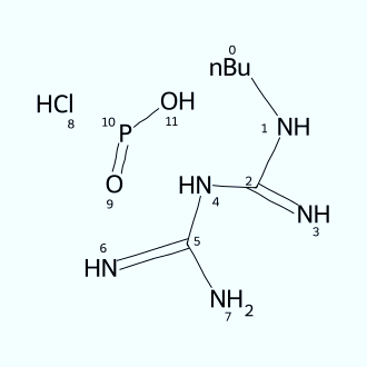 CCCCNC(=N)NC(=N)N.Cl.O=PO